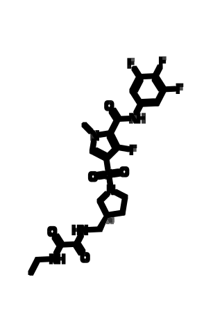 CCNC(=O)C(=O)NC[C@@H]1CCN(S(=O)(=O)c2cn(C)c(C(=O)Nc3cc(F)c(F)c(F)c3)c2F)C1